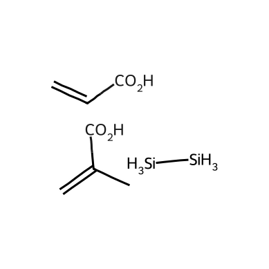 C=C(C)C(=O)O.C=CC(=O)O.[SiH3][SiH3]